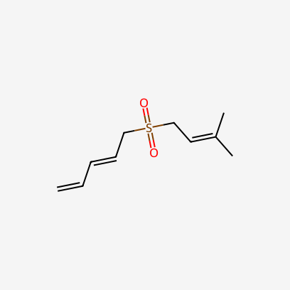 C=C/C=C/CS(=O)(=O)CC=C(C)C